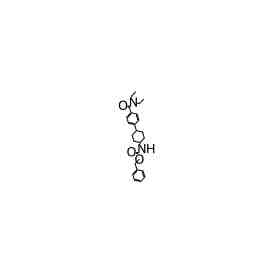 CCN(CC)C(=O)c1ccc(C2CCC(NC(=O)OCc3ccccc3)CC2)cc1